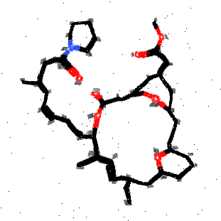 COC(=O)/C=C1\CC2CC(=O)OC(/C=C/C=C\C=C(/C)CC(=O)N3CCCCC3)C(C)/C=C/C(C)CC3CCCC(CC(C1)O2)O3